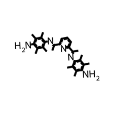 C/C(=N\c1c(C)c(C)c(N)c(C)c1C)c1cccc(/C(C)=N/c2c(C)c(C)c(N)c(C)c2C)n1